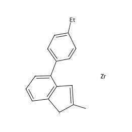 CCc1ccc(-c2cccc3c2C=C(C)[CH]3)cc1.[Zr]